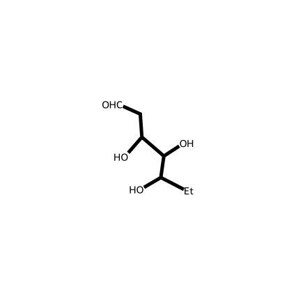 CCC(O)C(O)C(O)CC=O